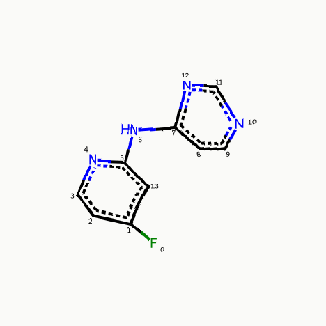 Fc1ccnc(Nc2ccncn2)c1